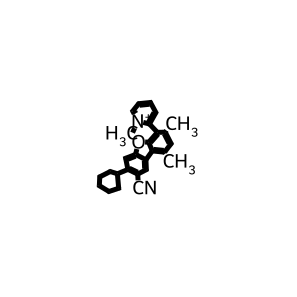 Cc1cc(C)c2c(oc3cc(C4CCCCC4)c(C#N)cc32)c1-c1cccc[n+]1C